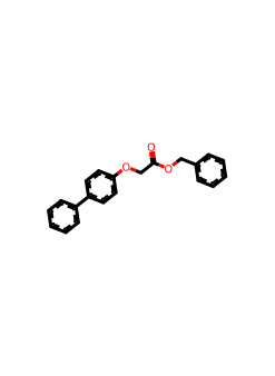 O=C(COc1ccc(-c2ccccc2)cc1)OCc1ccccc1